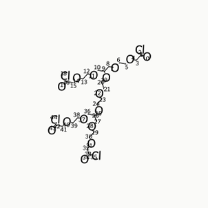 O=C(Cl)COCCOCC(COCCOCC(=O)Cl)OCCOCCOC(COCCOCC(=O)Cl)COCCOCC(=O)Cl